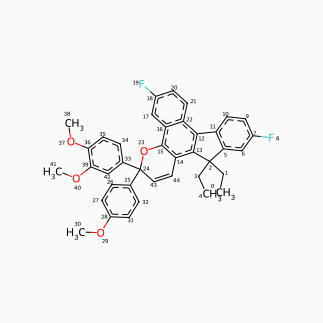 CCC1(CC)c2cc(F)ccc2-c2c1c1c(c3cc(F)ccc23)OC(c2ccc(OC)cc2)(c2ccc(OC)c(OC)c2)C=C1